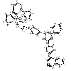 c1ccc(-c2nc(-c3ccc(-c4ccc5c(c4)C4(c6ccccc6-c6ccccc64)c4ccccc4-5)cc3)cc(-c3ccc(-c4cncc5ccccc45)cc3)n2)cc1